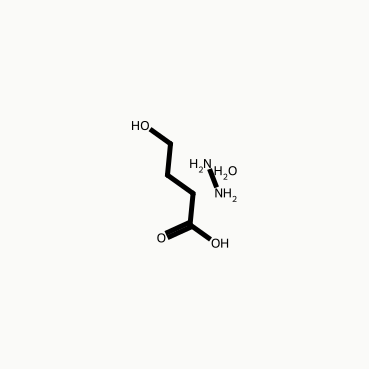 NN.O.O=C(O)CCCO